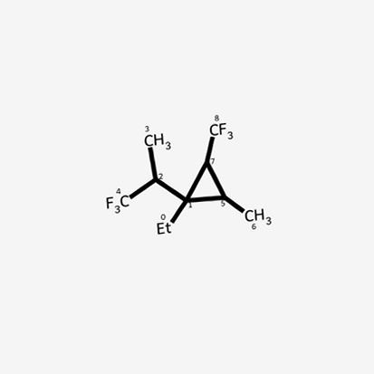 CCC1(C(C)C(F)(F)F)C(C)C1C(F)(F)F